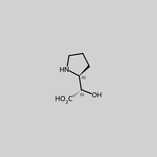 O=C(O)[C@@H](O)[C@@H]1CCCN1